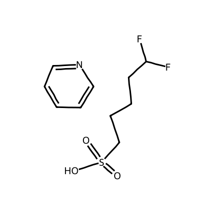 O=S(=O)(O)CCCCC(F)F.c1ccncc1